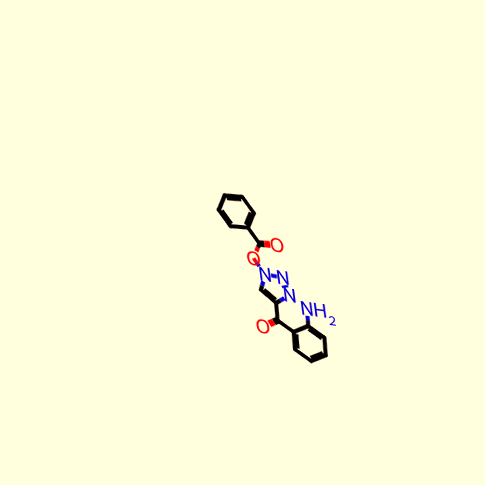 Nc1ccccc1C(=O)c1cn(OC(=O)c2ccccc2)nn1